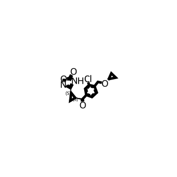 O=C(c1ccc(COC2CC2)c(Cl)c1)[C@H]1C[C@@H]1c1noc(=O)[nH]1